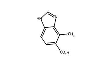 Cc1c(C(=O)O)ccc2[nH][c]nc12